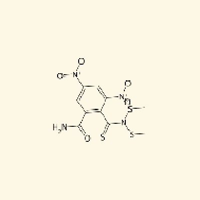 CSN(SC)C(=S)c1c(C(N)=O)cc([N+](=O)[O-])cc1[N+](=O)[O-]